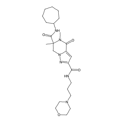 CN1C(=O)c2cc(C(=O)NCCCN3CCOCC3)nn2CC1(C)C(=O)NC1CCCCCC1